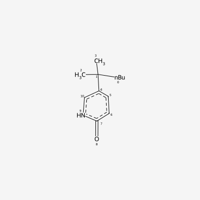 CCCCC(C)(C)c1ccc(=O)[nH]c1